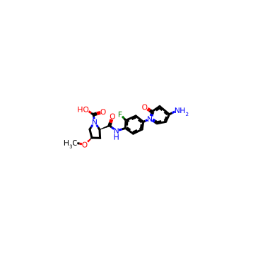 CO[C@@H]1C[C@H](C(=O)Nc2ccc(-n3ccc(N)cc3=O)cc2F)N(C(=O)O)C1